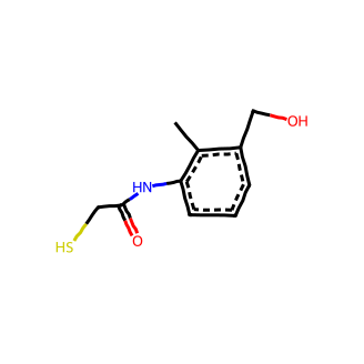 Cc1c(CO)cccc1NC(=O)CS